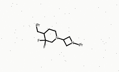 CC(C)CC1CCN(C2CN(C(C)C)C2)CC1(F)F